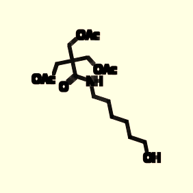 CC(=O)OCC(COC(C)=O)(COC(C)=O)C(=O)NCCCCCCO